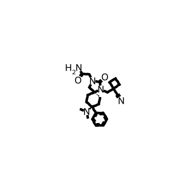 CN(C)[C@]1(c2ccccc2)CC[C@]2(CC1)CN(CC(N)=O)C(=O)N2CC1(C#N)CCC1